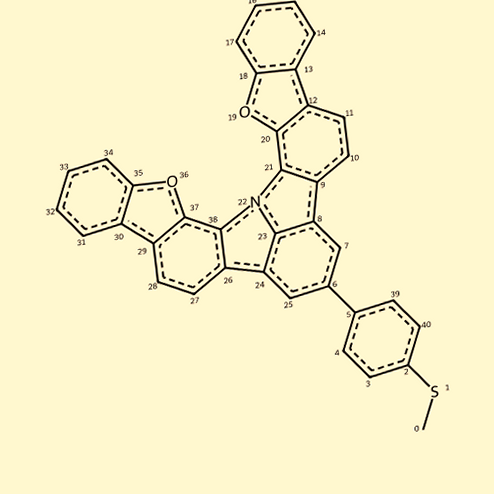 CSc1ccc(-c2cc3c4ccc5c6ccccc6oc5c4n4c3c(c2)c2ccc3c5ccccc5oc3c24)cc1